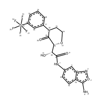 Nc1onc2cc(NC(=O)[C@H](O)[C@H]3OCCN(c4cccc(S(F)(F)(F)(F)F)c4)C3=O)ccc12